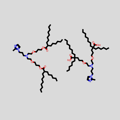 CCCCCCCCC(CCCCCC)(CCCOCCN(CCCn1ccnc1C)CCOCCCC(CCCCCC)(CCCCCCCC)C(=O)O)C(=O)O.CCCCCCCCC(CCCCCC)C(=O)OCCCOCCN(CCCn1ccnc1C)CCOCCCOC(=O)C(CCCCCC)CCCCCCCC